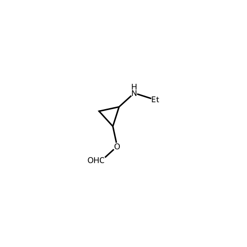 CCNC1CC1OC=O